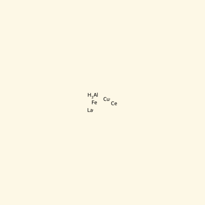 [AlH3].[Ce].[Cu].[Fe].[La]